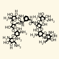 NCC1O[C@H](OC2C(N)C[C@@H](N)C(O)[C@H]2O[C@@H]2O[C@H](CNC(=O)Nc3cccc(NC(=O)NC[C@H]4O[C@@H](OC5C(O[C@@H]6OC(CN)C(O)[C@H](O)C6N)C(N)C[C@H](N)[C@@H]5O)C(O)C4O[C@@H]4O[C@H](CN)C(O)C(O)C4N)c3)[C@H](O[C@H]3O[C@@H](CN)C(O)C(O)C3N)C2O)C(N)[C@@H](O)C1O